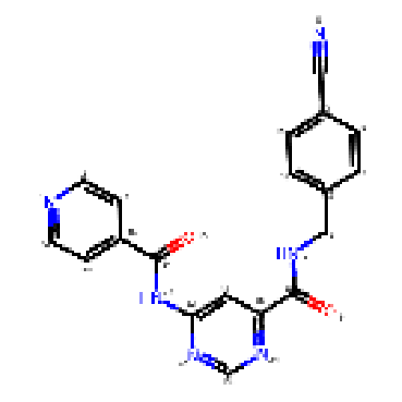 N#Cc1ccc(CNC(=O)c2cc(NC(=O)c3ccncc3)ncn2)cc1